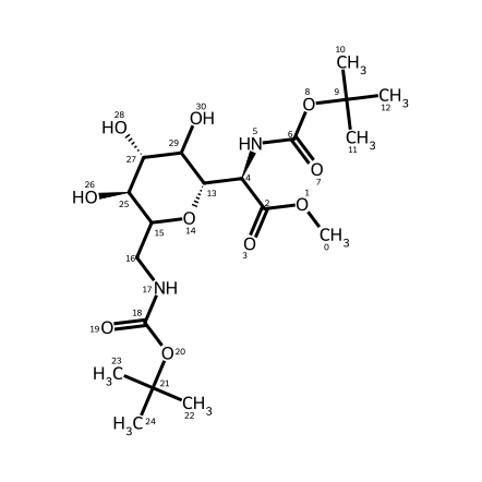 COC(=O)[C@H](NC(=O)OC(C)(C)C)[C@@H]1OC(CNC(=O)OC(C)(C)C)[C@@H](O)[C@H](O)C1O